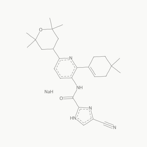 CC1(C)CC=C(c2nc(C3CC(C)(C)OC(C)(C)C3)ccc2NC(=O)c2nc(C#N)c[nH]2)CC1.[NaH]